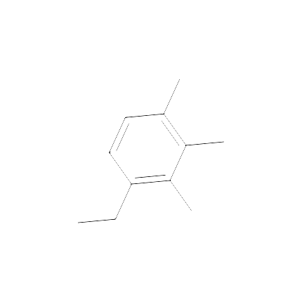 C[C]c1ccc(C)c(C)c1C